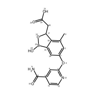 Cc1cc(Oc2cc(C(N)=O)ccn2)cc2c1C(CC(=O)O)OB2O